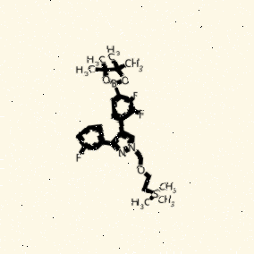 CC1(C)OB(c2ccc(-c3cn(COCCS(C)(C)C)nc3-c3cccc(F)c3)c(F)c2F)OC1(C)C